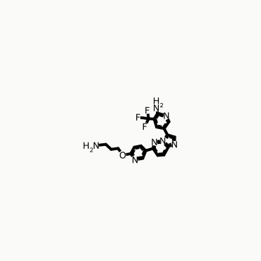 NCCCOc1ccc(-c2ccc3ncc(-c4cnc(N)c(C(F)(F)F)c4)n3n2)cn1